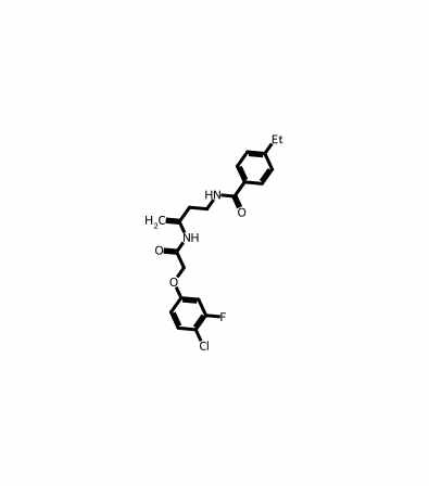 C=C(CCNC(=O)c1ccc(CC)cc1)NC(=O)COc1ccc(Cl)c(F)c1